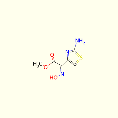 COC(=O)/C(=N\O)c1csc(N)n1